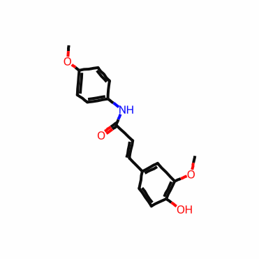 COc1ccc(NC(=O)C=Cc2ccc(O)c(OC)c2)cc1